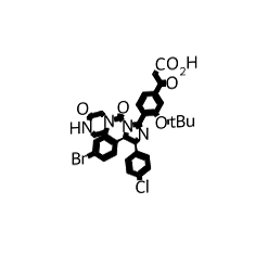 CC(C)(C)Oc1cc(C(=O)CC(=O)O)ccc1C1=N[C@@H](c2ccc(Cl)cc2)[C@@H](c2ccc(Br)cc2)N1C(=O)N1CCNC(=O)C1